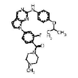 CC(C)Oc1ccc(Nc2ncc3ccn(-c4ccc(C(=O)N5CCN(C)CC5)c(F)c4)c3n2)cc1